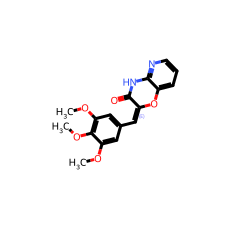 COc1cc(/C=C2/Oc3cccnc3NC2=O)cc(OC)c1OC